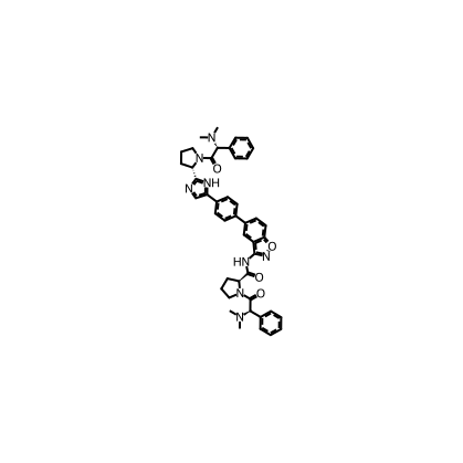 CN(C)[C@@H](C(=O)N1CCC[C@H]1C(=O)Nc1noc2ccc(-c3ccc(-c4cnc([C@@H]5CCCN5C(=O)[C@@H](c5ccccc5)N(C)C)[nH]4)cc3)cc12)c1ccccc1